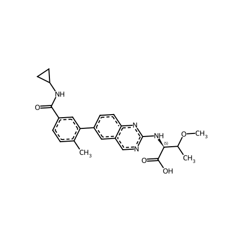 COC(C)[C@H](Nc1ncc2cc(-c3cc(C(=O)NC4CC4)ccc3C)ccc2n1)C(=O)O